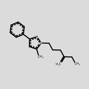 C=C(CC)CCCn1nc(-c2ccccc2)cc1C